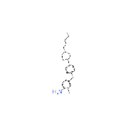 CCCCCC1CCC(c2ccc(Cc3ccc(N)c(C)c3)cc2)CC1